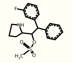 CS(=O)(=O)OC(C1CCCN1)C(c1ccccc1)c1cccc(F)c1